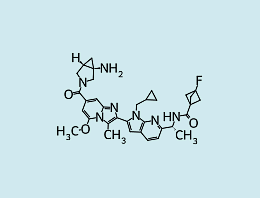 COc1cc(C(=O)N2C[C@@H]3C[C@]3(N)C2)cc2nc(-c3cc4ccc([C@@H](C)NC(=O)C56CC(F)(C5)C6)nc4n3CC3CC3)c(C)n12